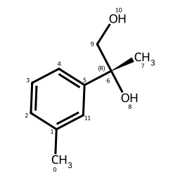 Cc1cccc([C@@](C)(O)CO)c1